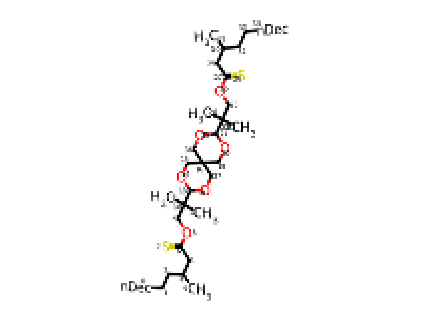 CCCCCCCCCCCCC(C)CC(=S)OCC(C)(C)C1OCC2(CO1)COC(C(C)(C)COC(=S)CC(C)CCCCCCCCCCCC)OC2